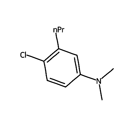 CCCc1cc(N(C)C)ccc1Cl